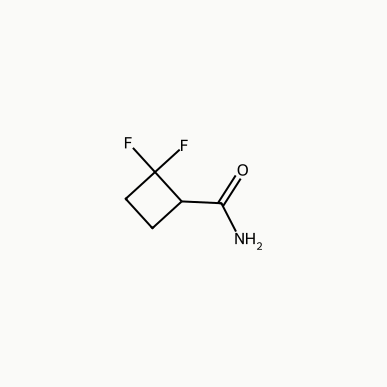 NC(=O)C1CCC1(F)F